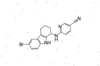 N#Cc1ccc(NC2CCCc3c2[nH]c2ccc(Br)cc32)nc1